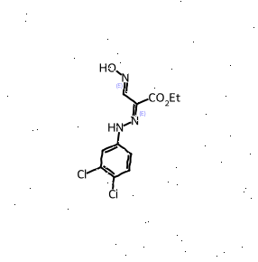 CCOC(=O)C(/C=N/O)=N/Nc1ccc(Cl)c(Cl)c1